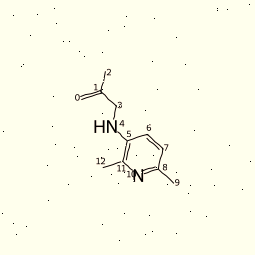 C=C(C)CNc1ccc(C)nc1C